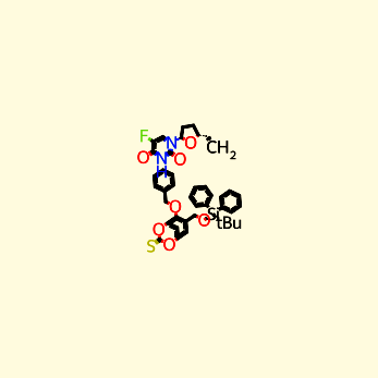 C=C[C@H]1CC[C@H](n2cc(F)c(=O)[nH]c2=O)O1.CC(C)(C)[Si](OCc1cc2cc(c1OCc1ccccc1)OC(=S)O2)(c1ccccc1)c1ccccc1